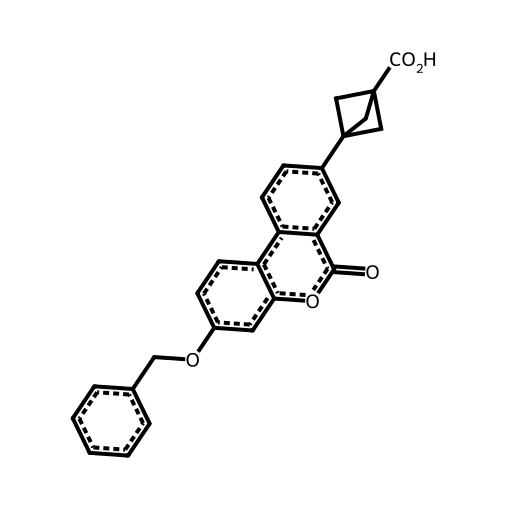 O=C(O)C12CC(c3ccc4c(c3)c(=O)oc3cc(OCc5ccccc5)ccc34)(C1)C2